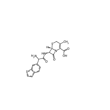 CC1=C(C(=O)O)N2C(=O)[C@@H](NC(=O)C(N)c3ccc4ccsc4c3)[C@@H]2SC1